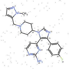 Cn1nccc1CN1CCC(n2cnc(-c3ccc(F)cc3)c2-c2ccnc(N)n2)CC1